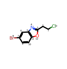 ClCCc1nc2cc(Br)ccc2o1